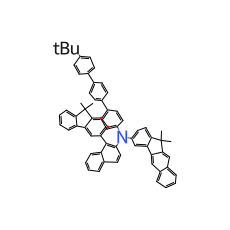 CC(C)(C)c1ccc(-c2ccc(-c3ccc(N(c4ccc5c(c4)-c4cc6ccccc6cc4C5(C)C)c4ccc5ccccc5c4-c4ccc5c(c4)-c4ccccc4C5(C)C)cc3)cc2)cc1